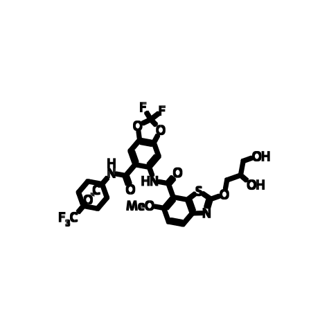 COc1ccc2nc(OCC(O)CO)sc2c1C(=O)Nc1cc2c(cc1C(=O)NC13CCC(C(F)(F)F)(CC1)OC3)OC(F)(F)O2